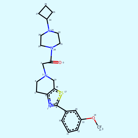 O=C(CN1CCc2nc(-c3cccc(OC(F)(F)F)c3)sc2C1)N1CCN(C2CCC2)CC1